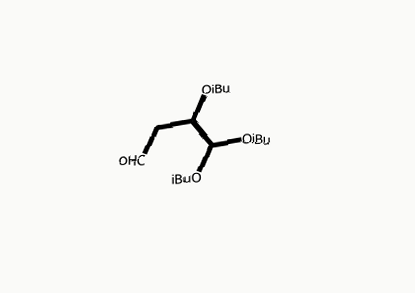 CC(C)COC(CC=O)C(OCC(C)C)OCC(C)C